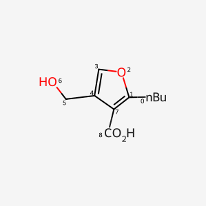 CCCCc1occ(CO)c1C(=O)O